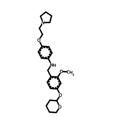 COc1cc(OC2CCCCO2)ccc1CNc1ccc(OCCN2CCCC2)cc1